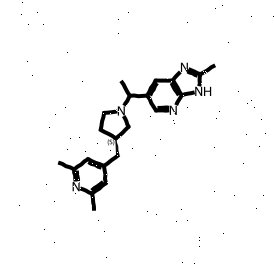 Cc1cc(C[C@H]2CCN(C(C)c3cnc4[nH]c(C)nc4c3)C2)cc(C)n1